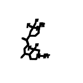 CCN1CCC(C(C)CCC(C)C2CCN(C(C)C)CC2(F)F)CC1(F)F